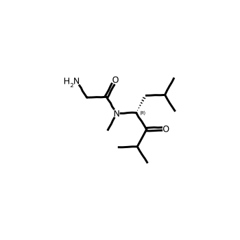 CC(C)C[C@H](C(=O)C(C)C)N(C)C(=O)CN